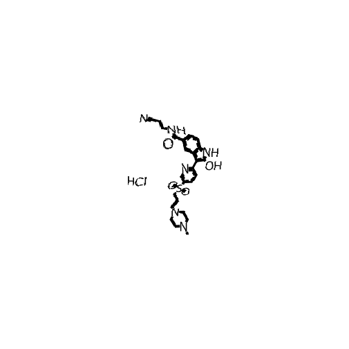 CN1CCN(C=CCS(=O)(=O)c2ccc(-c3c(O)[nH]c4ccc(C(=O)NCCC#N)cc34)nc2)CC1.Cl